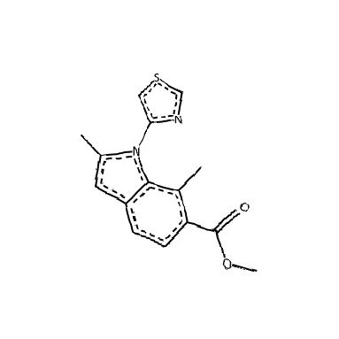 COC(=O)c1ccc2cc(C)n(-c3cscn3)c2c1C